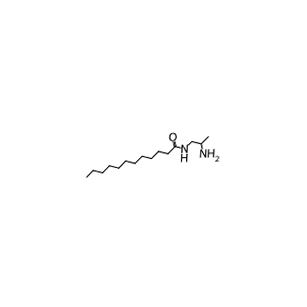 CCCCCCCCCCCC(=O)NCC(C)N